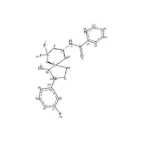 O=C(N[C@H]1CC(F)(F)C[C@]2(CCN(c3cccc(F)c3)C2=O)C1)c1ccccn1